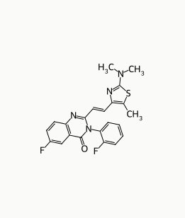 Cc1sc(N(C)C)nc1C=Cc1nc2ccc(F)cc2c(=O)n1-c1ccccc1F